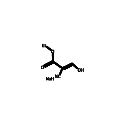 CCOC(=O)C(C#N)=CO.[NaH]